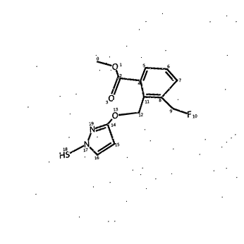 COC(=O)c1cccc(CF)c1COc1ccn(S)n1